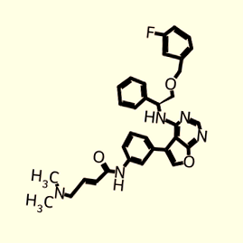 CN(C)C/C=C/C(=O)Nc1cccc(-c2coc3ncnc(N[C@H](COCc4cccc(F)c4)c4ccccc4)c23)c1